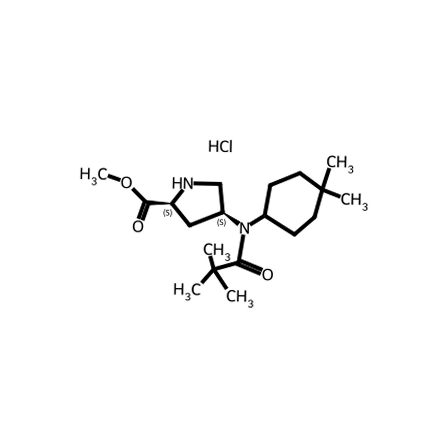 COC(=O)[C@@H]1C[C@H](N(C(=O)C(C)(C)C)C2CCC(C)(C)CC2)CN1.Cl